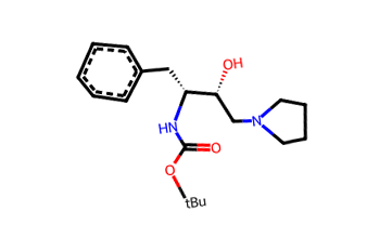 CC(C)(C)OC(=O)N[C@H](Cc1ccccc1)[C@H](O)CN1CCCC1